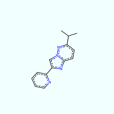 CC(C)c1ccc2nc(-c3ccccn3)cn2n1